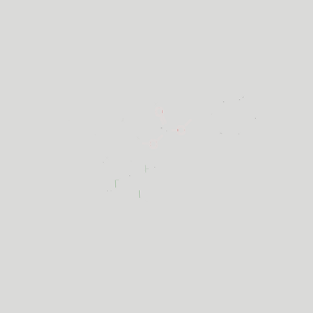 CCc1cc(C)c(OC(=O)OCc2ccccc2)c(C(F)(F)F)c1